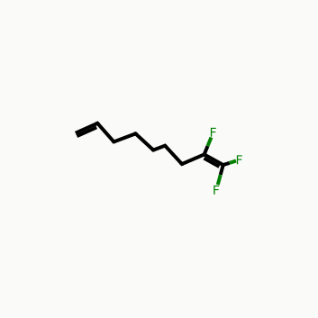 C=CCCCCCC(F)=C(F)F